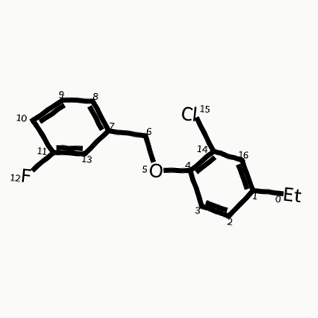 CCc1ccc(OCc2cccc(F)c2)c(Cl)c1